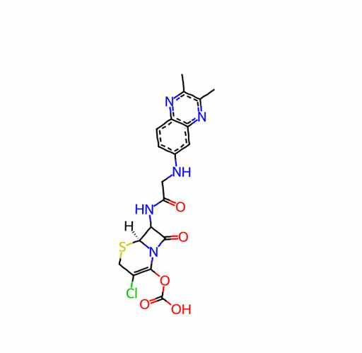 Cc1nc2ccc(NCC(=O)NC3C(=O)N4C(OC(=O)O)=C(Cl)CS[C@@H]34)cc2nc1C